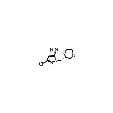 Nc1cc(Cl)nn1C[C@H]1COCCO1